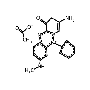 CC(=O)[O-].CNc1ccc2nc3c([n+](-c4ccccc4)c2c1)C=C(N)CC3=O